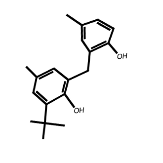 Cc1ccc(O)c(Cc2cc(C)cc(C(C)(C)C)c2O)c1